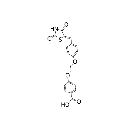 O=C1NC(=O)/C(=C/c2ccc(OCCOc3ccc(C(=O)O)cc3)cc2)S1